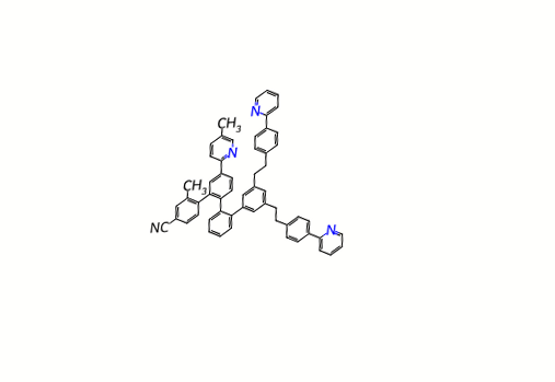 Cc1ccc(-c2ccc(-c3ccccc3-c3cc(CCc4ccc(-c5ccccn5)cc4)cc(CCc4ccc(-c5ccccn5)cc4)c3)c(-c3ccc(C#N)cc3C)c2)nc1